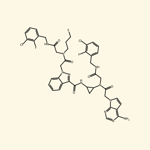 Nc1ncnc2c1ccn2CC(=O)N(CC(=O)NCc1cccc(Cl)c1F)C1CC1NC(=O)c1nn(CC(=O)N(CCCF)CC(=O)NCc2cccc(Cl)c2F)c2ccccc12